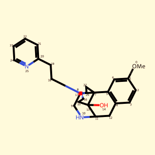 COc1ccc2c(c1)C13CCNC(C2)C1(O)CCN(CCc1ccccn1)CC3